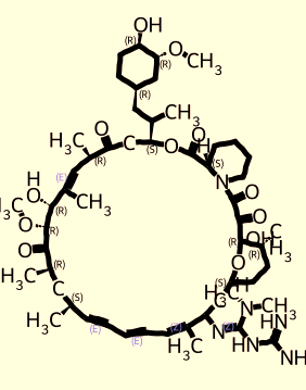 CO[C@@H]1C[C@@H](CC(C)[C@@H]2CC(=O)[C@H](C)/C=C(\C)[C@@H](O)[C@@H](OC)C(=O)[C@H](C)C[C@H](C)/C=C/C=C/C=C(/C)C(/N=C(/NC(=N)N)N(C)C)C[C@@H]3CC[C@@H](C)[C@@](O)(O3)C(=O)C(=O)N3CCCC[C@H]3C(=O)O2)CC[C@H]1O